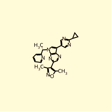 Cc1noc(C)c1-c1cnc2c(-c3cnc(C4CC4)nc3)cn([C@@H](C)c3ccccn3)c2n1